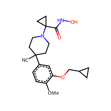 COc1ccc(C2(C#N)CCN(C3(C(=O)NO)CC3)CC2)cc1OCC1CC1